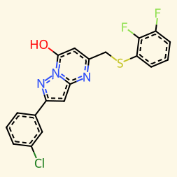 Oc1cc(CSc2cccc(F)c2F)nc2cc(-c3cccc(Cl)c3)nn12